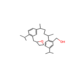 CC(C)c1ccc(C(C)CCC(C)c2ccc(C(C)C)c(CC3CCO3)c2)c(CO)c1